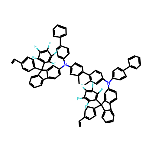 C=CC1=CC=C(C2(c3c(F)c(F)c(F)c(F)c3F)c3ccccc3-c3ccc(N(c4ccc(-c5ccccc5)cc4)c4ccc(-c5ccc(N(c6ccc(-c7ccccc7)cc6)c6ccc7c(c6)C(c6ccc(C=C)cc6)(c6c(F)c(F)c(F)c(F)c6F)c6ccccc6-7)cc5C)c(C)c4)cc32)CC1